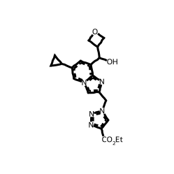 CCOC(=O)c1cn(Cc2cn3cc(C4CC4)cc(C(O)C4COC4)c3n2)nn1